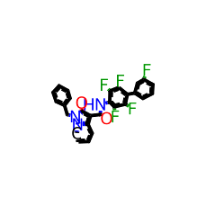 O=C(Nc1c(F)c(F)c(-c2cccc(F)c2)c(F)c1F)c1c(=O)n(Cc2ccccc2)n2ccccc12